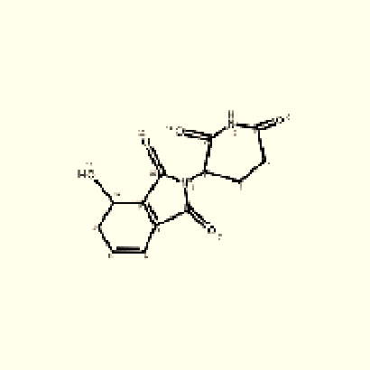 O=C1CCC(N2C(=O)C3=C(C2=O)C(O)CC=C3)C(=O)N1